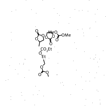 CC1COC(=O)O1.CCOC(=O)OC.CCOC(=O)OCC.COC(=O)OC.O=C1OCCO1